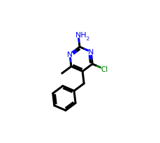 Cc1nc(N)nc(Cl)c1Cc1ccccc1